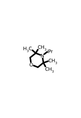 CC(C)N1C(C)(C)COCC1(C)C